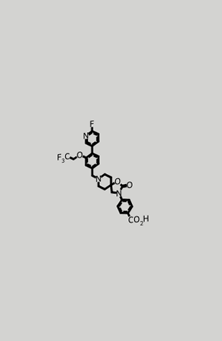 O=C(O)c1ccc(N2CC3(CCN(Cc4ccc(-c5ccc(F)nc5)c(OCC(F)(F)F)c4)CC3)OC2=O)cc1